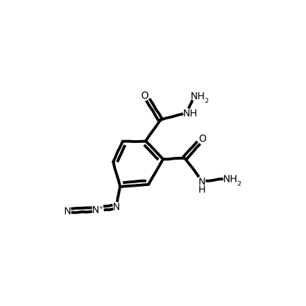 [N-]=[N+]=Nc1ccc(C(=O)NN)c(C(=O)NN)c1